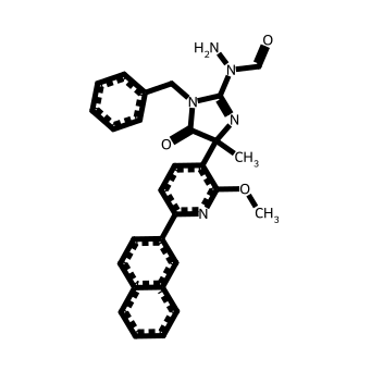 COc1nc(-c2ccc3ccccc3c2)ccc1C1(C)N=C(N(N)C=O)N(Cc2ccccc2)C1=O